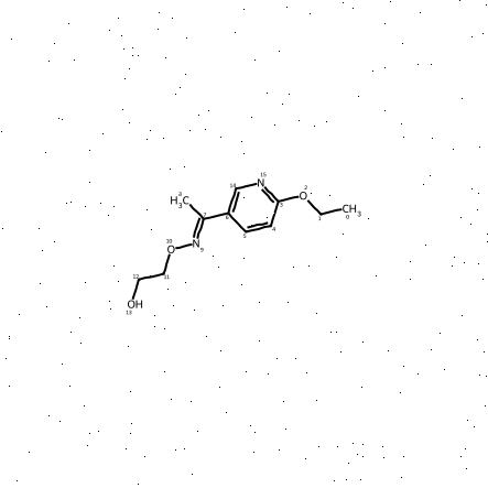 CCOc1ccc(C(C)=NOCCO)cn1